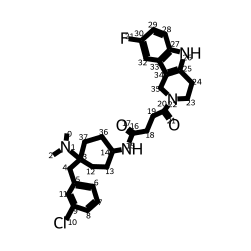 CN(C)C1(Cc2cccc(Cl)c2)CCC(NC(=O)CCC(=O)N2CCc3[nH]c4ccc(F)cc4c3C2)CC1